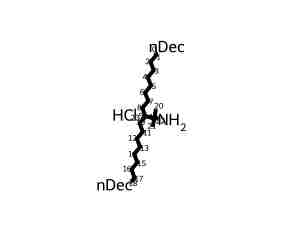 CCCCCCCCCCCCCCCCCCC(CCCCCCCCCCCCCCCCCC)C(C)(C)N.Cl